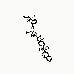 CCCS(=O)(=O)c1cccc(OCC(O)CNC2COC3(CCN(S(=O)(=O)c4cnc5ccccc5c4)CC3)C2)c1